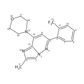 Cc1cn2nc(-c3ccccc3C(F)(F)F)cc(N3CCOCC3)c2n1